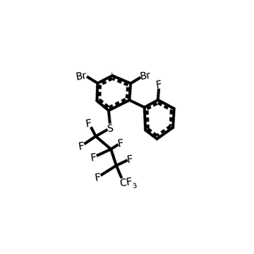 Fc1ccccc1-c1c(Br)[c]c(Br)cc1SC(F)(F)C(F)(F)C(F)(F)C(F)(F)F